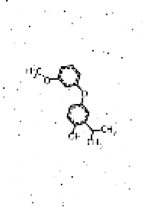 COc1cccc(Oc2ccc(O)c(C(C)C)c2)c1